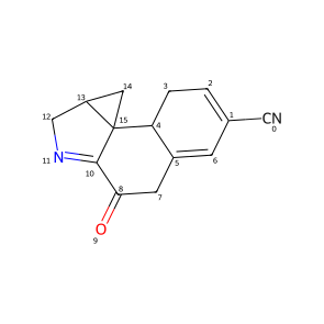 N#CC1=CCC2C(=C1)CC(=O)C1=NCC3CC132